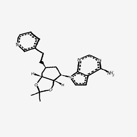 CC1(C)O[C@@H]2[C@@H](CCc3cccnc3)C[C@@H](n3ccc4c(N)ncnc43)[C@@H]2O1